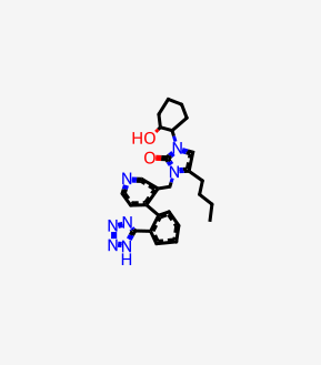 CCCCc1cn(C2CCCCC2O)c(=O)n1Cc1cnccc1-c1ccccc1-c1nnn[nH]1